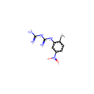 Cc1ccc([N+](=O)[O-])cc1NC(=N)NC(=N)N